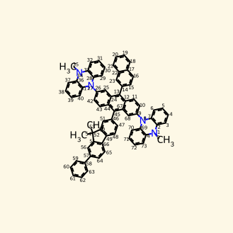 CN1c2ccccc2N(c2ccc3c(-c4ccc5ccccc5c4)c4cc(N5c6ccccc6N(C)c6ccccc65)ccc4c(-c4ccc5c(c4)C(C)(C)c4cc(-c6ccccc6)ccc4-5)c3c2)c2ccccc21